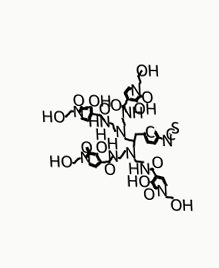 O=C(NCCN(CCNC(=O)c1ccn(CCO)c(=O)c1O)CC(Cc1ccc(N=C=S)cc1)CN(CCNC(=O)c1ccn(CCO)c(=O)c1O)CCNC(=O)c1ccn(CCO)c(=O)c1O)c1ccn(CCO)c(=O)c1O